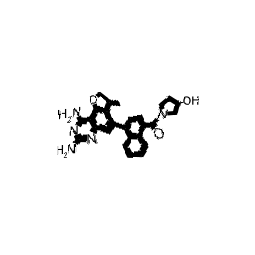 CC1COc2c1c(-c1ccc(C(=O)N3CC[C@H](O)C3)c3ccccc13)cc1nc(N)nc(N)c21